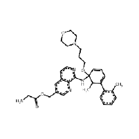 Cc1ccccc1C1=CC=CC(Nc2nccc3cc(COC(=O)CN)cnc23)(OCCCN2CCOCC2)C1C